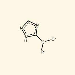 CC(C)[S+]([O-])c1ncn[nH]1